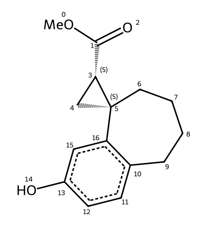 COC(=O)[C@H]1C[C@@]12CCCCc1ccc(O)cc12